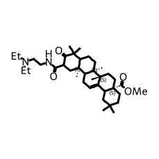 CCN(CC)CCNC(=O)C1C[C@@]2(C)C(CC[C@]3(C)C2CC=C2C4CC(C)(C)CC[C@]4(C(=O)OC)CC[C@]23C)C(C)(C)C1=O